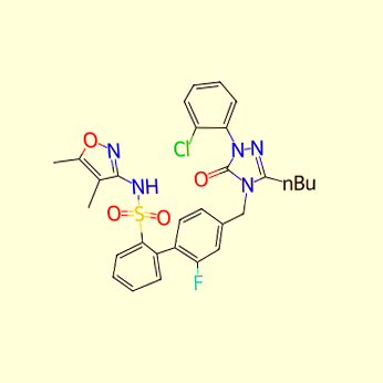 CCCCc1nn(-c2ccccc2Cl)c(=O)n1Cc1ccc(-c2ccccc2S(=O)(=O)Nc2noc(C)c2C)c(F)c1